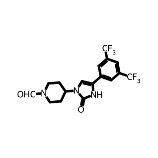 O=CN1CCC(n2cc(-c3cc(C(F)(F)F)cc(C(F)(F)F)c3)[nH]c2=O)CC1